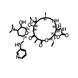 CC[C@@H]1OC(=O)C(C)C(=O)[C@H](C)[C@@H](O[C@@H]2O[C@H](CNc3cccnc3)CC(N(C)C)C2O)[C@](C)(OC)C[C@@H](C)CN[C@H](C)[C@H]2NC(=O)O[C@]12C